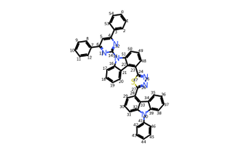 c1ccc(-c2cc(-c3ccccc3)nc(-n3c4ccccc4c4c(-c5nnc(-c6cccc7c6c6ccccc6n7-c6ccccc6)s5)cccc43)n2)cc1